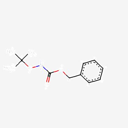 CC(C)(ONC(=O)OCc1ccccc1)C(=O)O